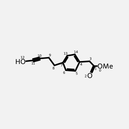 COC(=O)Cc1ccc(CCC#CO)cc1